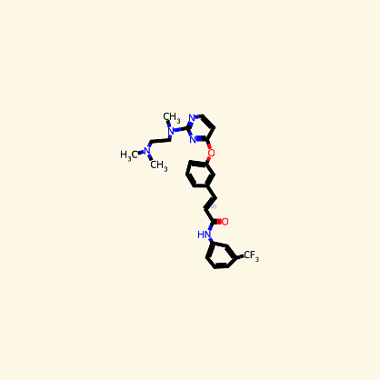 CN(C)CCN(C)c1nccc(Oc2cccc(/C=C/C(=O)Nc3cccc(C(F)(F)F)c3)c2)n1